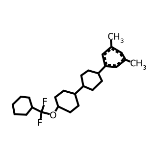 Cc1cc(C)cc(C2CCC(C3CCC(OC(F)(F)C4CCCCC4)CC3)CC2)c1